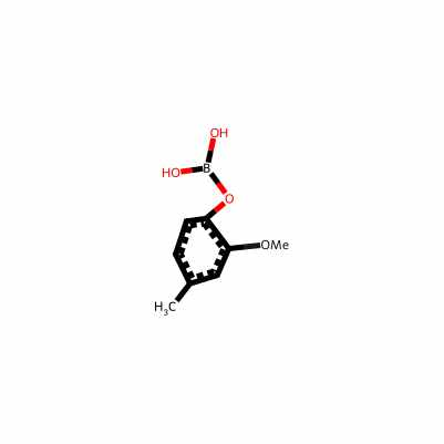 COc1cc(C)ccc1OB(O)O